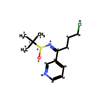 CC(C)(C)[S+]([O-])/N=C(/CCCCl)c1cccnc1